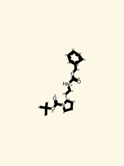 CC(C)(C)OC(=O)N1CCC[C@H]1CCNC(=O)OCc1ccccc1